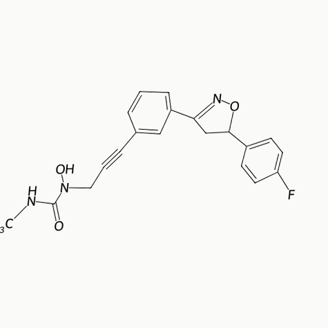 CNC(=O)N(O)CC#Cc1cccc(C2=NOC(c3ccc(F)cc3)C2)c1